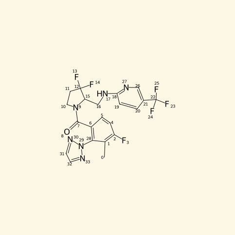 Cc1c(F)ccc(C(=O)N2CCC(F)(F)C2CNc2ccc(C(F)(F)F)cn2)c1-n1nccn1